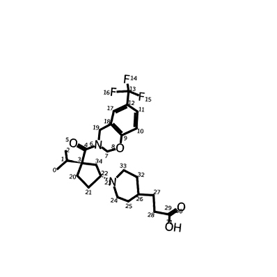 CC(C)[C@]1(C(=O)N2COc3ccc(C(F)(F)F)cc3C2)CC[C@@H](N2CCC(CCC(=O)O)CC2)C1